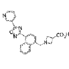 O=C(O)C1CN(Cc2ccc(-c3noc(-c4cccnc4)n3)c3ccccc23)C1